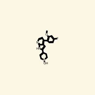 COc1cc(F)ccc1-c1ccnc2[nH]c(C3=CCN(O)CC3)cc12